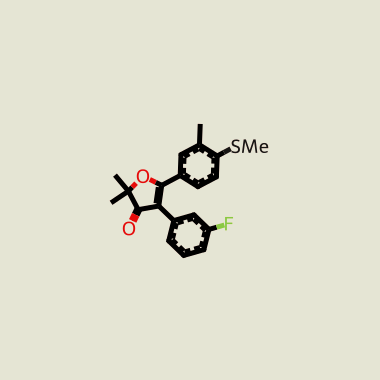 CSc1ccc(C2=C(c3cccc(F)c3)C(=O)C(C)(C)O2)cc1C